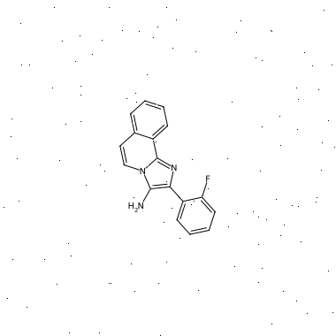 Nc1c(-c2ccccc2F)nc2c3ccccc3ccn12